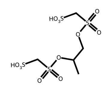 CC(COS(=O)(=O)CS(=O)(=O)O)OS(=O)(=O)CS(=O)(=O)O